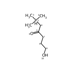 C[PH](C)(C)CC(=O)CCCO